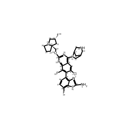 Nc1nc2c(-c3c(Cl)cc4c(N5CC6CNCC5C6)nc(OC[C@@]56CCCN5C[C@H](F)C6)nc4c3F)ccc(F)c2s1